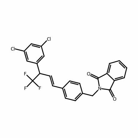 O=C1c2ccccc2C(=O)N1Cc1ccc(C=CC(c2cc(Cl)cc(Cl)c2)C(F)(F)F)cc1